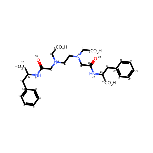 O=C(O)CN(CCN(CC(=O)O)CC(=O)NC(Cc1ccccc1)C(=O)O)CC(=O)NC(Cc1ccccc1)C(=O)O